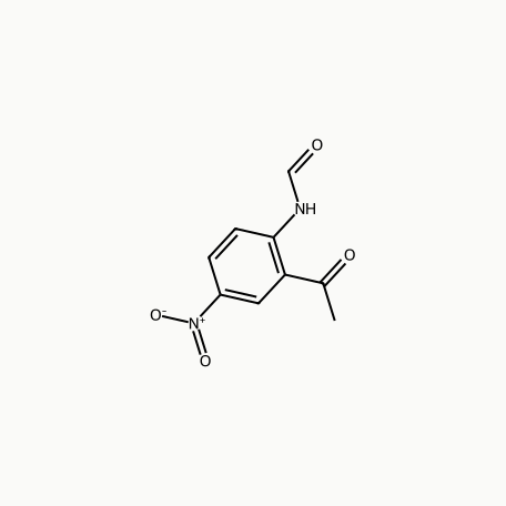 CC(=O)c1cc([N+](=O)[O-])ccc1NC=O